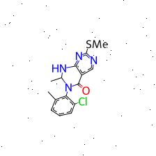 CSc1ncc2c(n1)NC(C)N(c1c(C)cccc1Cl)C2=O